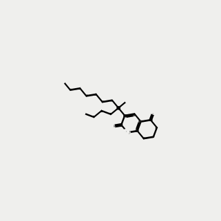 CCCCCCCC(C)(CCCC)c1cc2c([nH]c1=O)CCCC2=O